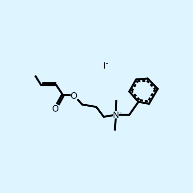 CC=CC(=O)OCCC[N+](C)(C)Cc1ccccc1.[I-]